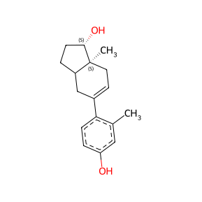 Cc1cc(O)ccc1C1=CC[C@@]2(C)C(CC[C@@H]2O)C1